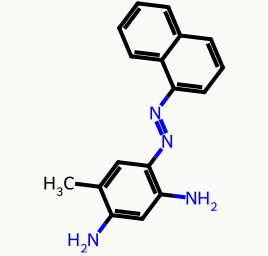 Cc1cc(N=Nc2cccc3ccccc23)c(N)cc1N